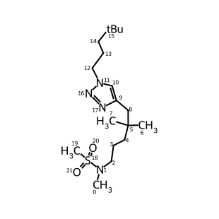 CN(CCCC(C)(C)Cc1cn(CCCC(C)(C)C)nn1)S(C)(=O)=O